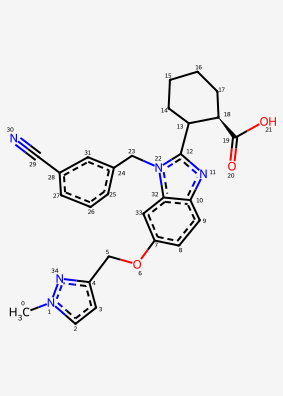 Cn1ccc(COc2ccc3nc(C4CCCC[C@H]4C(=O)O)n(Cc4cccc(C#N)c4)c3c2)n1